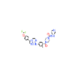 Cc1cc(Nc2nccn3c(-c4ccc(OC(F)F)cc4)cnc23)ccc1C(=O)N1CCN(C(=O)Nc2ccncc2)CC1